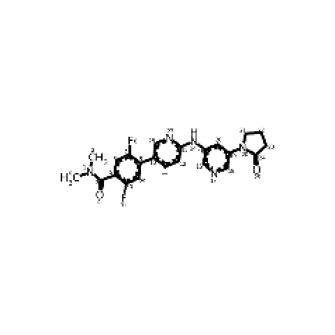 CN(C)C(=O)c1cc(F)c(-c2ccc(Nc3cncc(N4CCCC4=O)c3)nc2)cc1F